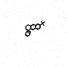 CC(C)(C)c1ccc2cc3c(cc2c1)CCCC31CC2C=CC1C2